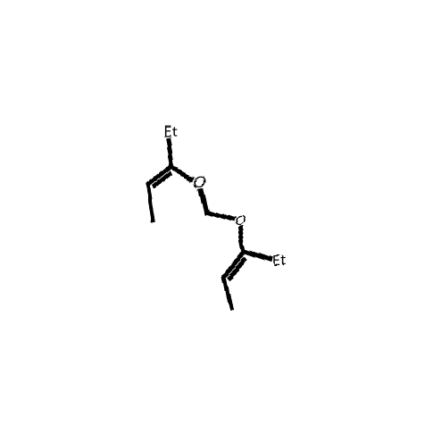 CC=C(CC)OCOC(=CC)CC